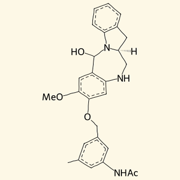 COc1cc2c(cc1OCc1cc(C)cc(NC(C)=O)c1)NC[C@@H]1Cc3ccccc3N1C2O